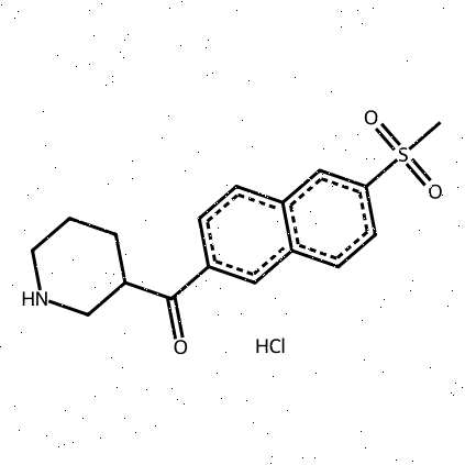 CS(=O)(=O)c1ccc2cc(C(=O)C3CCCNC3)ccc2c1.Cl